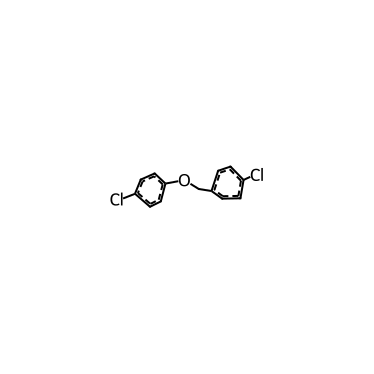 Clc1ccc(COc2ccc(Cl)cc2)cc1